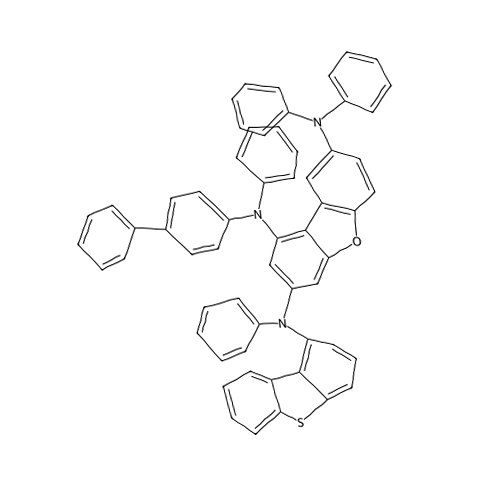 c1ccc(-c2ccc(N(c3ccccc3)c3cc(N(c4ccccc4)c4cccc5sc6ccccc6c45)cc4oc5ccc(N(c6ccccc6)c6ccccc6)cc5c34)cc2)cc1